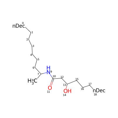 CCCCCCCCCCCCCCCCC(C)NC(=O)CC(O)CCCCCCCCCCCCC